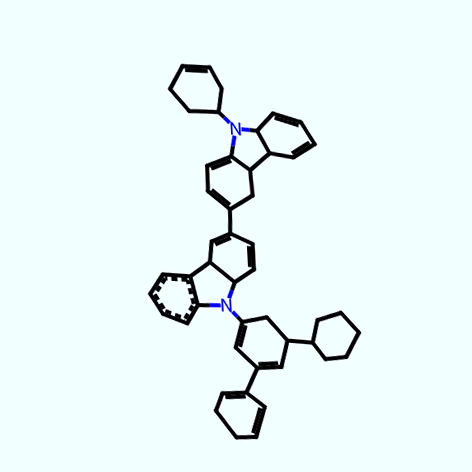 C1=CC2C3CC(C4=CC5c6ccccc6N(C6=CC(C7=CCCC=C7)=CC(C7CCCCC7)C6)C5C=C4)=CC=C3N(C3CC=CCC3)C2C=C1